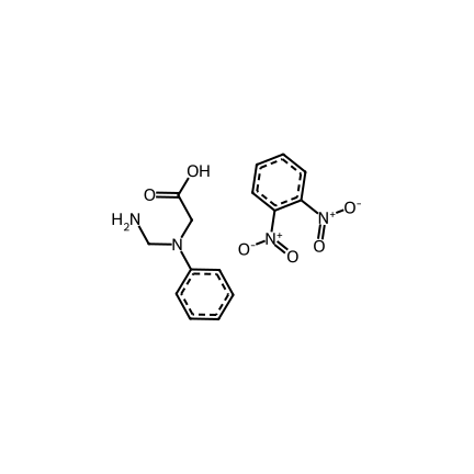 NCN(CC(=O)O)c1ccccc1.O=[N+]([O-])c1ccccc1[N+](=O)[O-]